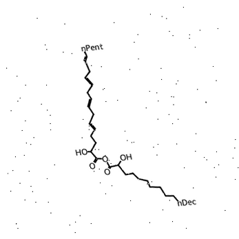 CCCCCC=CCC=CCC=CCC=CCCC(O)C(=O)OC(=O)C(O)CCCCCCCCCCCCCCCCCC